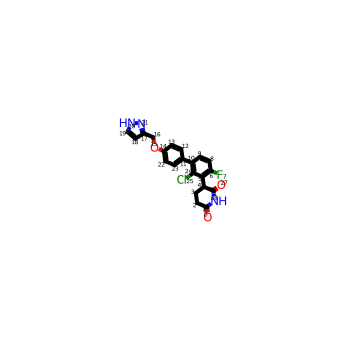 O=C1CCC(c2c(F)ccc(-c3ccc(OCc4cc[nH]n4)cc3)c2Cl)C(=O)N1